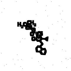 C[Si](C)(C)CCOC(=O)[C@@H]1CSc2c(C3CC3)c(Cc3cccc4ccccc34)cc(=O)n21